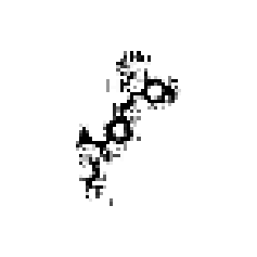 CC(C)(C)OC(=O)N[C@H](c1nc2cc(C(NC(=O)CCC(F)(F)F)C3CC3)ccc2o1)C1CCC(F)(F)CC1